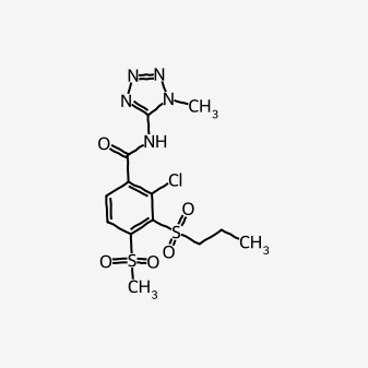 CCCS(=O)(=O)c1c(S(C)(=O)=O)ccc(C(=O)Nc2nnnn2C)c1Cl